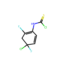 FC1=C(NC(=S)Cl)C=CC(F)(Cl)C1